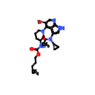 CCCCOC(=O)NC1CCCN(c2c(Br)cnc3[nH]cc(N(C(C)=O)C4CC4)c23)C1